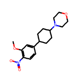 COc1cc(C2CCC(N3CCOCC3)CC2)ccc1[N+](=O)[O-]